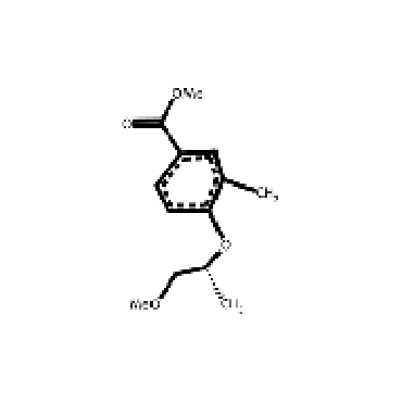 COC[C@@H](C)Oc1ccc(C(=O)OC)cc1C